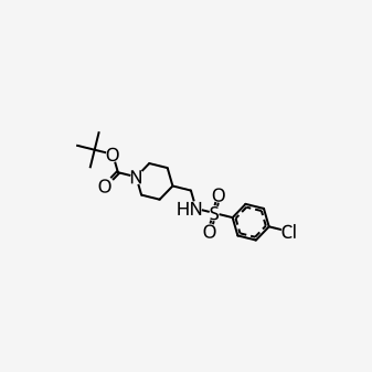 CC(C)(C)OC(=O)N1CCC(CNS(=O)(=O)c2ccc(Cl)cc2)CC1